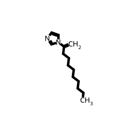 C=C(CCCCCCCCC)n1ccnc1